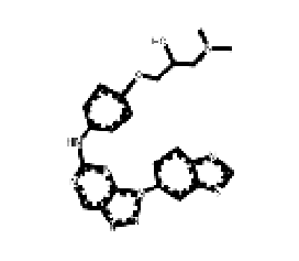 CN(C)CC(O)COc1ccc(Nc2ncc3nnn(-c4ccc5ncsc5c4)c3n2)cc1